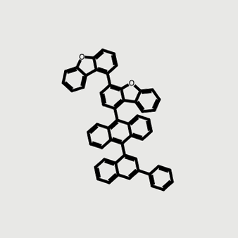 c1ccc(-c2cc(-c3c4ccccc4c(-c4ccc(-c5cccc6oc7ccccc7c56)c5oc6ccccc6c45)c4ccccc34)c3ccccc3c2)cc1